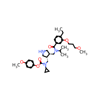 CCc1ccc(C(=O)N(C[C@@H]2CNC[C@H]2CN(C(=O)Oc2ccc(OC)cc2)C2CC2)C(C)C)cc1OCCCOC